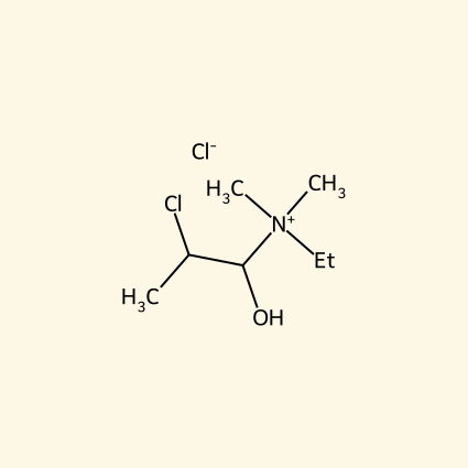 CC[N+](C)(C)C(O)C(C)Cl.[Cl-]